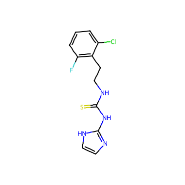 Fc1cccc(Cl)c1CCNC(=S)Nc1ncc[nH]1